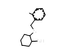 NC1CCCCC1NCc1ccccc1O